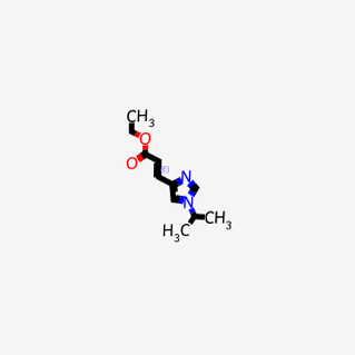 CCOC(=O)/C=C/c1cn(C(C)C)cn1